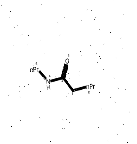 [CH2]CCCC(=O)NCCC